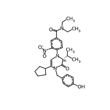 CCN(CC)C(=O)c1ccc(N2C=C(C3CCCC3)N(Cc3ccc(O)cc3)C(=O)[C@H]2C(C)C)c([N+](=O)[O-])c1